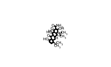 CN(C)c1ccc(O)c2c1C[C@@H]1C[C@]3(Cl)[C@@H](N(C)C)C(O)=C(C(N)=O)C(=O)[C@]3(O)C(O)=C1C2=O